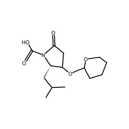 CC(C)C[C@H]1C(OC2CCCCO2)CC(=O)N1C(=O)O